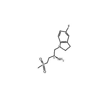 CS(=O)(=O)CC[C@H](N)CN1CCc2cc(F)ccc21